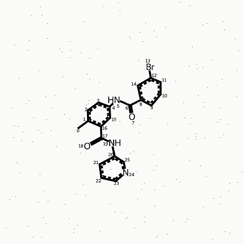 Cc1ccc(NC(=O)c2cccc(Br)c2)cc1C(=O)Nc1cccnc1